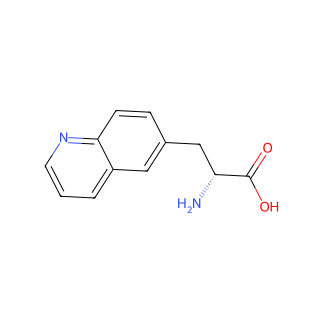 N[C@H](Cc1ccc2ncccc2c1)C(=O)O